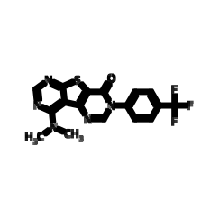 CN(C)c1ncnc2sc3c(=O)n(-c4ccc(C(F)(F)F)cc4)cnc3c12